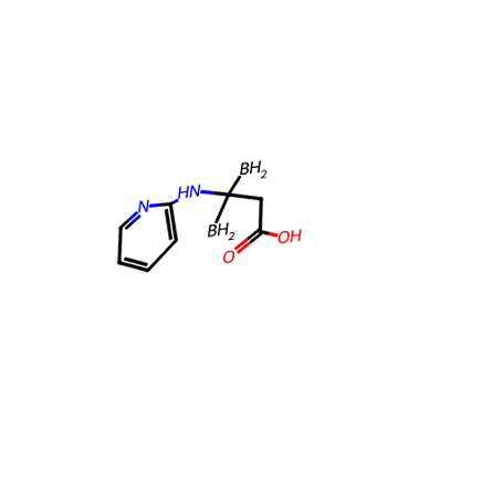 BC(B)(CC(=O)O)Nc1ccccn1